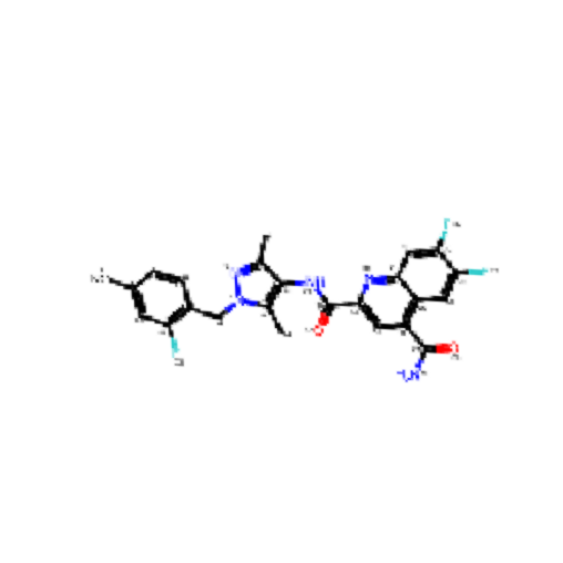 Cc1nn(Cc2ccc(C#N)cc2F)c(C)c1NC(=O)c1cc(C(N)=O)c2cc(F)c(F)cc2n1